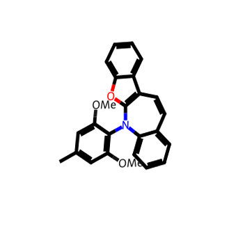 COc1cc(C)cc(OC)c1N1c2ccccc2C=Cc2c1oc1ccccc21